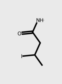 CC(I)CC([NH])=O